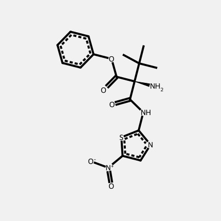 CC(C)(C)[C@](N)(C(=O)Nc1ncc([N+](=O)[O-])s1)C(=O)Oc1ccccc1